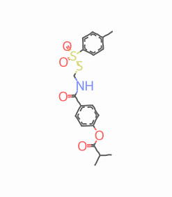 Cc1ccc(S(=O)(=O)SCNC(=O)c2ccc(OC(=O)C(C)C)cc2)cc1